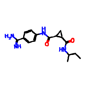 CCC(C)NC(=O)C1CC1C(=O)Nc1ccc(C(=N)N)cc1